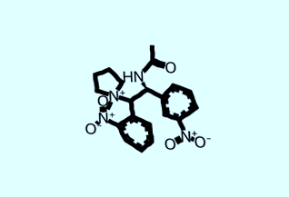 CC(=O)N[C@@H](c1cccc([N+](=O)[O-])c1)C(c1ccccc1[N+](=O)[O-])[N+]1(C)CCCC1